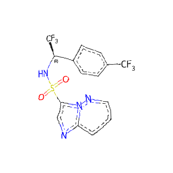 O=S(=O)(N[C@H](c1ccc(C(F)(F)F)cc1)C(F)(F)F)c1cnc2cccnn12